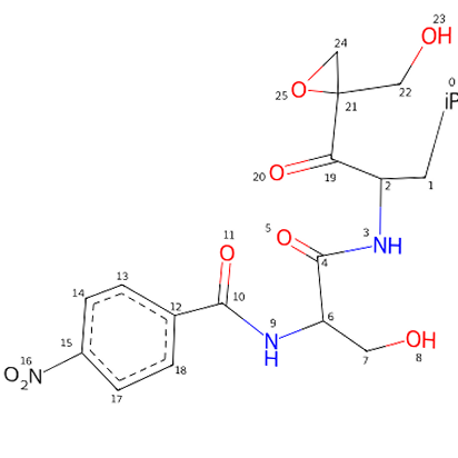 CC(C)CC(NC(=O)C(CO)NC(=O)c1ccc([N+](=O)[O-])cc1)C(=O)C1(CO)CO1